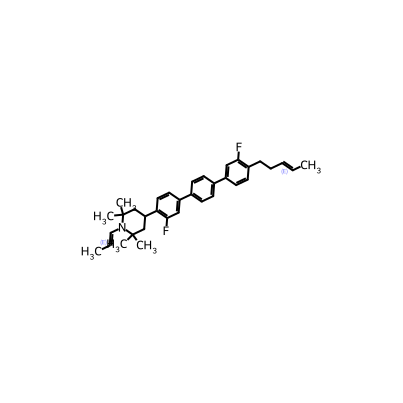 C/C=C/CCc1ccc(-c2ccc(-c3ccc(C4CC(C)(C)N(/C=C/C)C(C)(C)C4)c(F)c3)cc2)cc1F